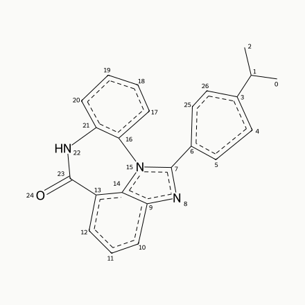 CC(C)c1ccc(-c2nc3cccc4c3n2-c2ccccc2NC4=O)cc1